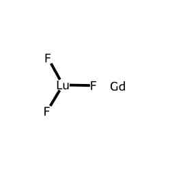 [F][Lu]([F])[F].[Gd]